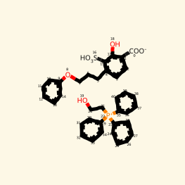 O=C([O-])c1ccc(CCCOc2ccccc2)c(S(=O)(=O)O)c1O.OCC[P+](c1ccccc1)(c1ccccc1)c1ccccc1